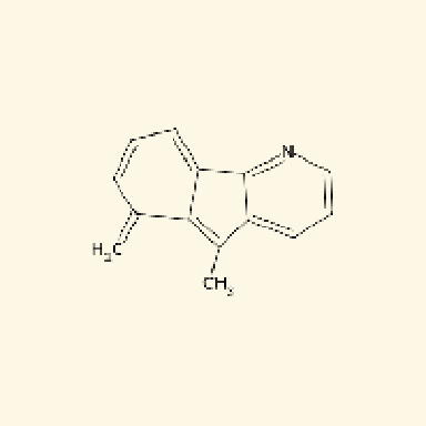 C=c1cccc2c1=C(C)c1cccnc1-2